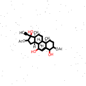 C#CC1(O)C(OC(C)=O)C[C@H]2[C@@H]3C(O)C=C4C(O)C(OC(C)=O)CC[C@]4(C)[C@@H]3CC[C@@]21C